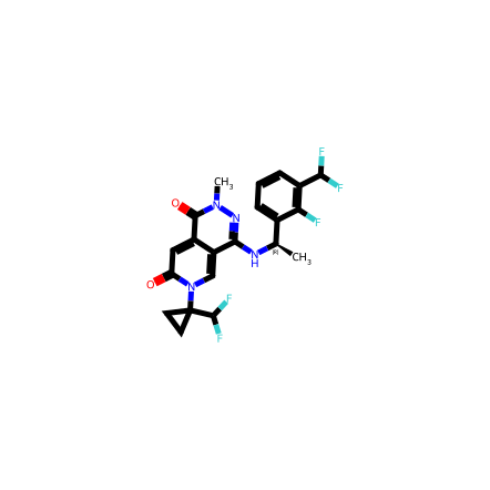 C[C@@H](Nc1nn(C)c(=O)c2cc(=O)n(C3(C(F)F)CC3)cc12)c1cccc(C(F)F)c1F